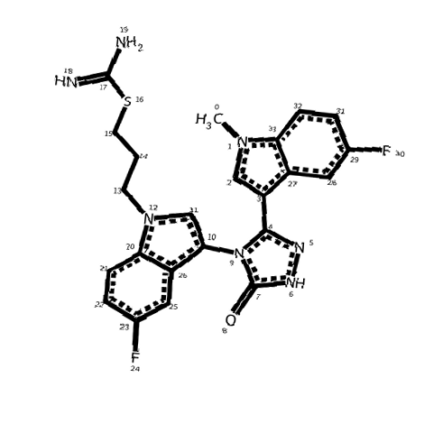 Cn1cc(-c2n[nH]c(=O)n2-c2cn(CCCSC(=N)N)c3ccc(F)cc23)c2cc(F)ccc21